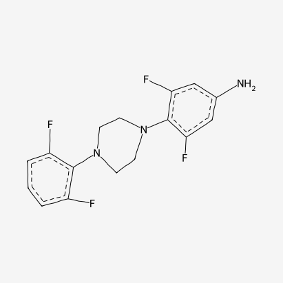 Nc1cc(F)c(N2CCN(c3c(F)cccc3F)CC2)c(F)c1